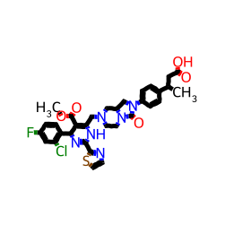 COC(=O)C1=C(CN2CCN3C(=O)N(c4ccc(C(C)CC(=O)O)cc4)CC3C2)NC(c2nccs2)=NC1c1ccc(F)cc1Cl